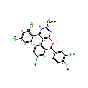 COc1nc(OCc2ccc(F)c(F)c2)c(-c2ccc(Cl)cc2)c(-c2ccc(Cl)cc2Cl)n1